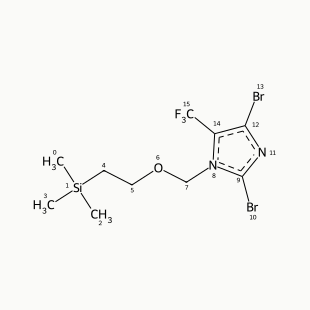 C[Si](C)(C)CCOCn1c(Br)nc(Br)c1C(F)(F)F